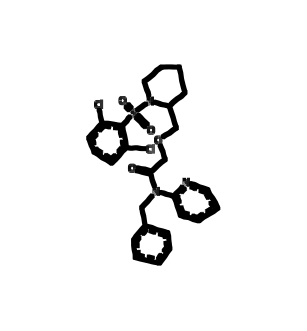 O=C(COCC1CCCCN1S(=O)(=O)c1c(Cl)cccc1Cl)N(Cc1ccccc1)c1ccccn1